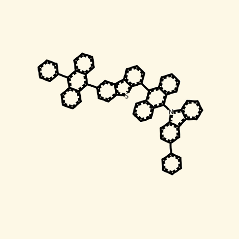 c1ccc(-c2ccc3c(c2)c2ccccc2n3-c2c3ccccc3c(-c3cccc4c3sc3ccc(-c5c6ccccc6c(-c6ccccc6)c6ccccc56)cc34)c3ccccc23)cc1